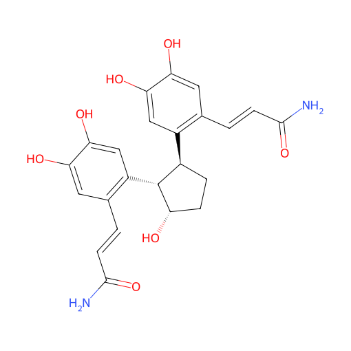 NC(=O)/C=C/c1cc(O)c(O)cc1[C@@H]1[C@@H](c2cc(O)c(O)cc2/C=C/C(N)=O)CC[C@@H]1O